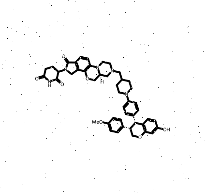 COc1ccc([C@H]2COc3cc(O)ccc3[C@H]2c2ccc(N3CCC(CN4CCN5c6ccc7c(c6OC[C@@H]5C4)CN(C4CCC(=O)NC4=O)C7=O)CC3)cc2)cc1